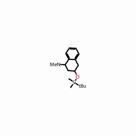 CNC1CC(O[Si](C)(C)C(C)(C)C)Cc2ccccc21